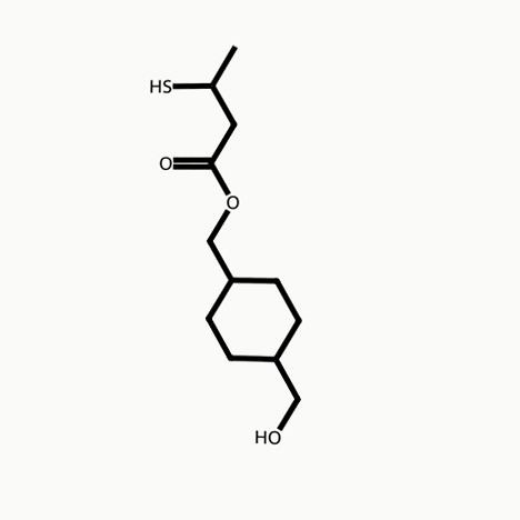 CC(S)CC(=O)OCC1CCC(CO)CC1